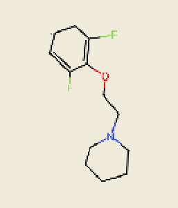 FC1=C[CH]CC(F)=C1OCCN1CCCCC1